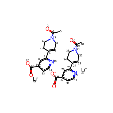 CC(=O)N1CC=C(c2cc(C(=O)[O-])ccn2)CC1.CC(=O)N1CC=C(c2cc(C(=O)[O-])ccn2)CC1.[Li+].[Li+]